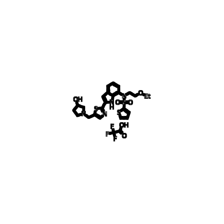 CCOCCN(c1cccc2cc(-c3ncc(CN4CCC(O)C4)s3)[nH]c12)S(=O)(=O)c1cccs1.O=C(O)C(F)(F)F